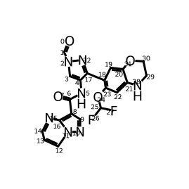 O=Cn1cc(NC(=O)c2cnn3cccnc23)c(-c2cc3c(cc2OC(F)F)NCCO3)n1